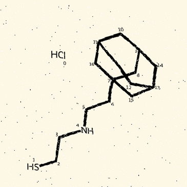 Cl.SCCNCCC12CC3CC(CC(C3)C1)C2